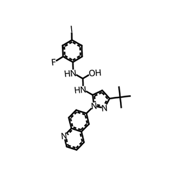 CC(C)(C)c1cc(NC(O)Nc2ccc(I)cc2F)n(-c2ccc3ncccc3c2)n1